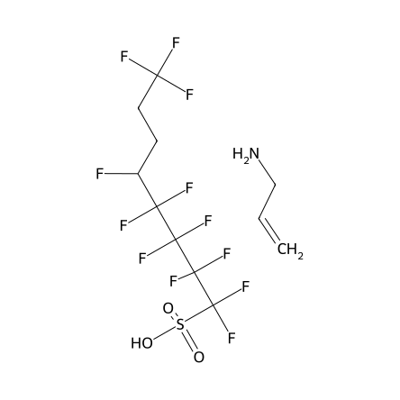 C=CCN.O=S(=O)(O)C(F)(F)C(F)(F)C(F)(F)C(F)(F)C(F)CCC(F)(F)F